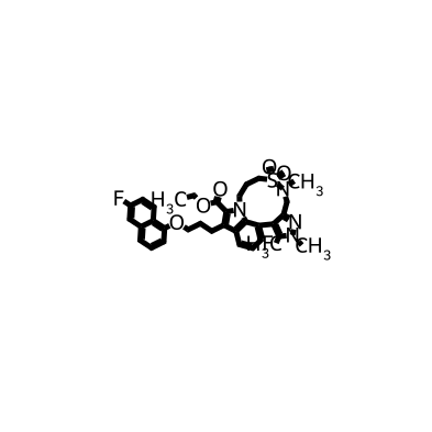 CCOC(=O)c1c(CCCOc2cccc3cc(F)ccc23)c2ccc(F)c3c2n1CCCS(=O)(=O)N(C)Cc1nn(C)c(C)c1-3